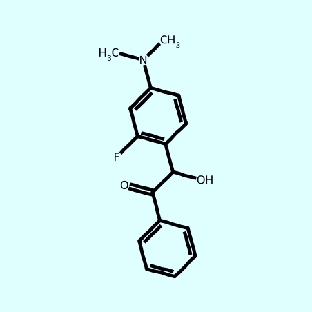 CN(C)c1ccc(C(O)C(=O)c2ccccc2)c(F)c1